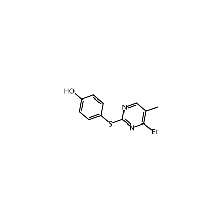 CCc1nc(Sc2ccc(O)cc2)ncc1C